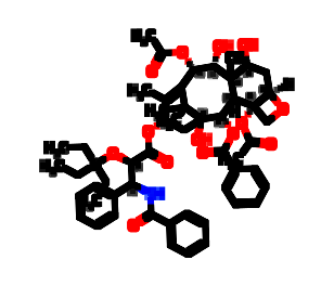 CC[Si](CC)(CC)O[C@@H](C(=O)O[C@H]1C[C@@]2(O)[C@@H](OC(=O)c3ccccc3)[C@@H]3[C@]4(OC(C)=O)CO[C@@H]4C[C@H](O)[C@@]3(C)[C@@H](O)[C@@H](OC(C)=O)C(=C1C)C2(C)C)[C@@H](NC(=O)c1ccccc1)c1ccccc1